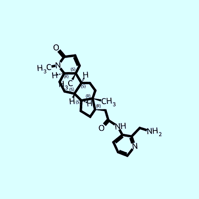 CN1C(=O)C=C[C@]2(C)[C@H]3CC[C@]4(C)[C@@H](CC(=O)Nc5cccnc5CN)CC[C@H]4[C@@H]3CC[C@@H]12